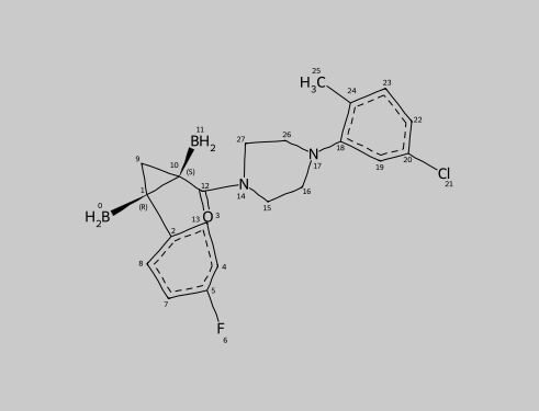 B[C@@]1(c2ccc(F)cc2)C[C@]1(B)C(=O)N1CCN(c2cc(Cl)ccc2C)CC1